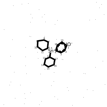 [OH-].c1cc[c]([Sn+]([CH]2CCCCC2)[CH]2CCCCC2)cc1